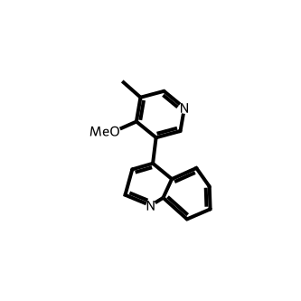 COc1c(C)cncc1-c1ccnc2ccccc12